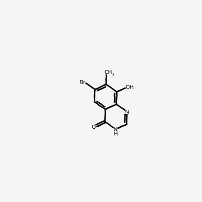 Cc1c(Br)cc2c(=O)[nH]cnc2c1O